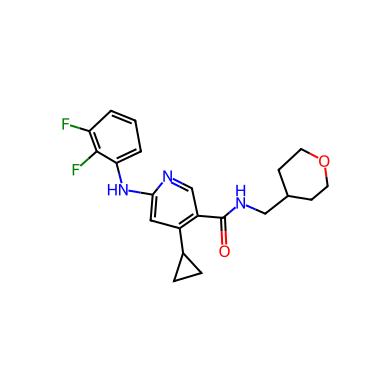 O=C(NCC1CCOCC1)c1cnc(Nc2cccc(F)c2F)cc1C1CC1